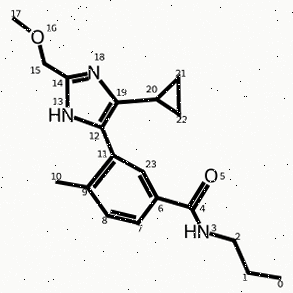 CCCNC(=O)c1ccc(C)c(-c2[nH]c(COC)nc2C2CC2)c1